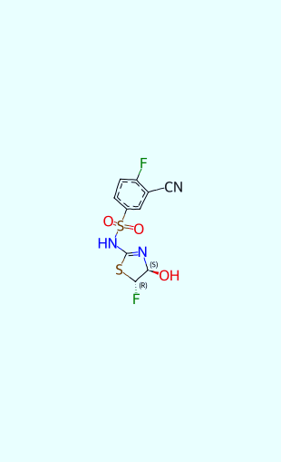 N#Cc1cc(S(=O)(=O)NC2=N[C@@H](O)[C@H](F)S2)ccc1F